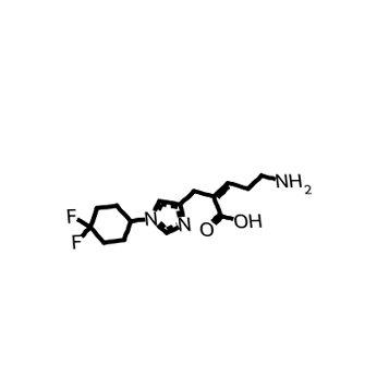 NCC/C=C(/Cc1cn(C2CCC(F)(F)CC2)cn1)C(=O)O